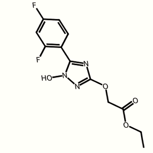 CCOC(=O)COc1nc(-c2ccc(F)cc2F)n(O)n1